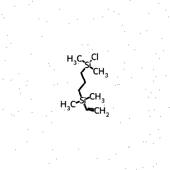 C=C[Si](C)(C)CCC[Si](C)(C)Cl